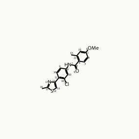 COc1ccc(C(=O)Nc2ccc(-c3csc(C)n3)c(Cl)c2)c(C)c1